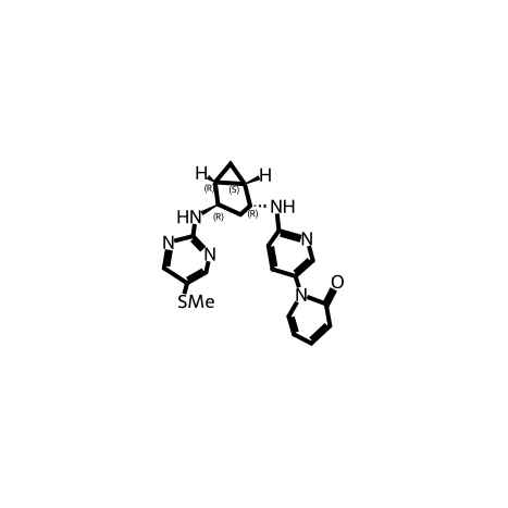 CSc1cnc(N[C@@H]2C[C@@H](Nc3ccc(-n4ccccc4=O)cn3)[C@H]3C[C@H]32)nc1